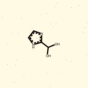 OC(O)c1ncc[nH]1